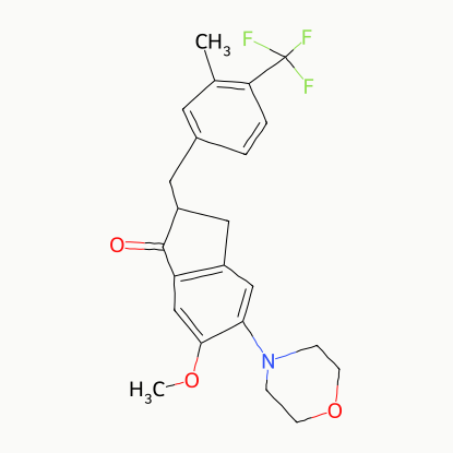 COc1cc2c(cc1N1CCOCC1)CC(Cc1ccc(C(F)(F)F)c(C)c1)C2=O